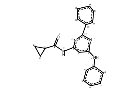 O=C(Nc1cc(Nc2ccccc2)nc(-c2ccccc2)n1)C1CC1